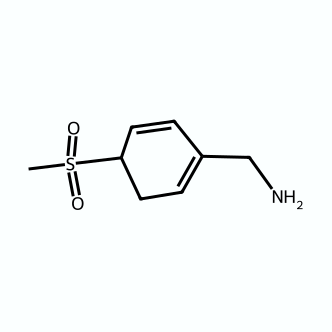 CS(=O)(=O)C1C=CC(CN)=CC1